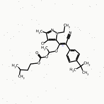 CCn1nc(C)c(Cl)c1/C(OC(C)OC(=O)OCCC(C)C)=C(\C#N)c1ccc(C(C)(C)C)cc1